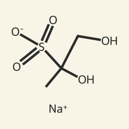 CC(O)(CO)S(=O)(=O)[O-].[Na+]